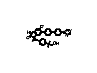 CC(C)(CO)c1ccc(C2CC23C(=O)Nc2cc(Cl)c(-c4ccc(-c5ccc(-n6cncn6)cc5)cc4)cc23)cc1